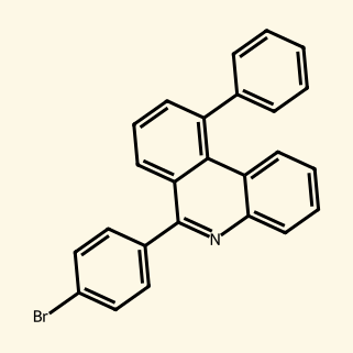 Brc1ccc(-c2nc3ccccc3c3c(-c4ccccc4)cccc23)cc1